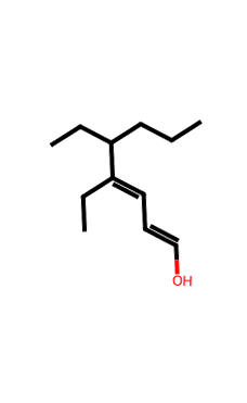 CCCC(CC)C(=CC=CO)CC